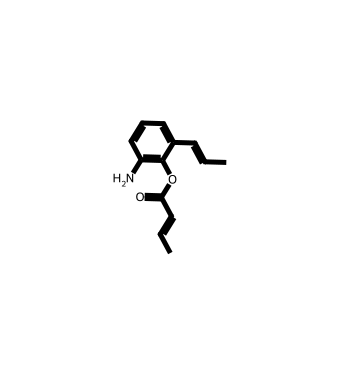 C/C=C/C(=O)Oc1c(N)cccc1/C=C/C